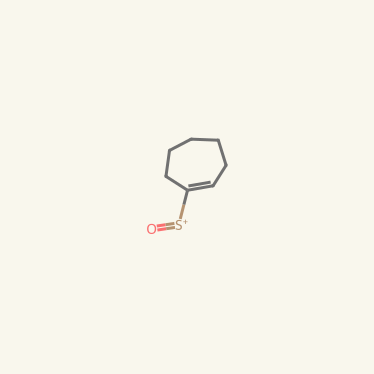 O=[S+]C1=CCCCCC1